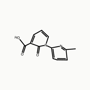 Cc1cccc(-n2cccc(C(=O)O)c2=O)n1